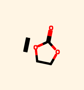 C=C.O=C1OCCO1